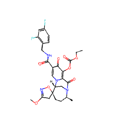 CCOC(=O)Oc1c2n(cc(C(=O)NCc3ccc(F)cc3F)c1=O)[C@@H]1CN(C2=O)[C@@H](C)CC[C@]12CC(OC)=NO2